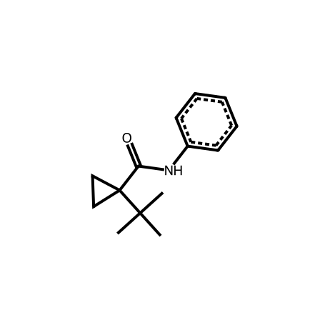 CC(C)(C)C1(C(=O)Nc2ccccc2)CC1